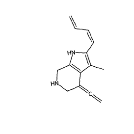 C=C=C1CNCc2[nH]c(/C=C\C=C)c(C)c21